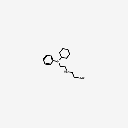 CSCCNCCN(c1ccccc1)C1CCCCC1